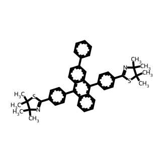 CC1(C)N=C(c2ccc(-c3c4ccccc4c(-c4ccc(C5=NC(C)(C)C(C)(C)S5)cc4)c4cc(-c5ccccc5)ccc34)cc2)SC1(C)C